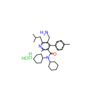 Cc1ccc(-c2c(CN)c(CC(C)C)nc(C)c2C(=O)N(C2CCCCC2)C2CCCCC2)cc1.Cl.Cl